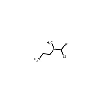 CCC(C(C)C)N(C)CCN